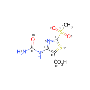 CS(=O)(=O)c1nc(NC(N)=O)c(C(=O)O)s1